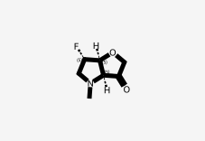 CN1C[C@H](F)[C@H]2OCC(=O)[C@H]21